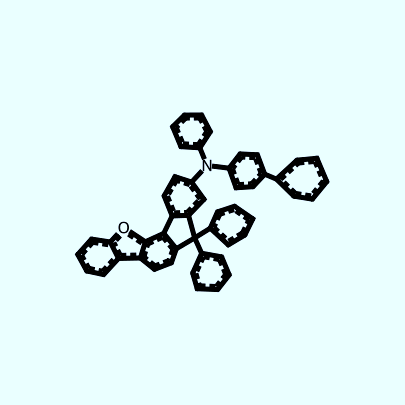 c1ccc(-c2ccc(N(c3ccccc3)c3ccc4c(c3)C(c3ccccc3)(c3ccccc3)c3ccc5c(oc6ccccc65)c3-4)cc2)cc1